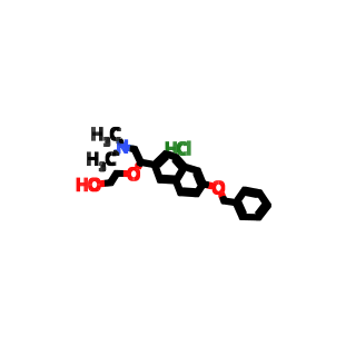 CN(C)CC(OCCO)c1ccc2cc(OCc3ccccc3)ccc2c1.Cl